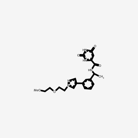 COCCOCCn1cc(-c2cccc(C(C)NC(=O)c3cc(=O)[nH]c(=O)[nH]3)c2)cn1